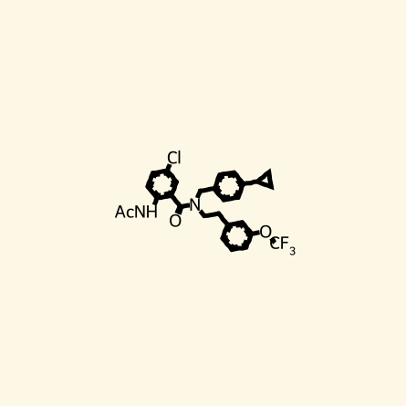 CC(=O)Nc1ccc(Cl)cc1C(=O)N(CCc1cccc(OC(F)(F)F)c1)Cc1ccc(C2CC2)cc1